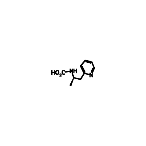 C[C@H](Cc1ccccn1)NC(=O)O